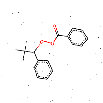 CC(C)(C)C(OOC(=O)c1ccccc1)c1ccccc1